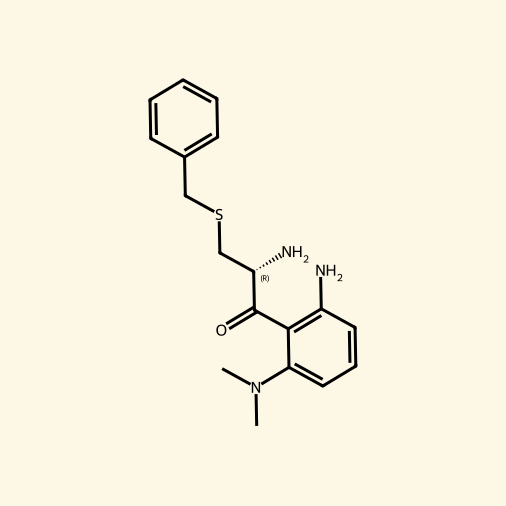 CN(C)c1cccc(N)c1C(=O)[C@@H](N)CSCc1ccccc1